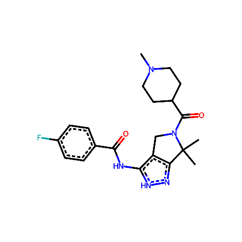 CN1CCC(C(=O)N2Cc3c(n[nH]c3NC(=O)c3ccc(F)cc3)C2(C)C)CC1